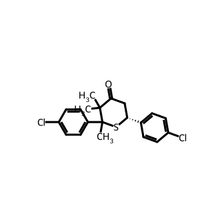 CC1(C)C(=O)C[C@H](c2ccc(Cl)cc2)SC1(C)c1ccc(Cl)cc1